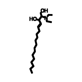 CCCCCCCCCCCCCC=CC(O)C(CO)N(CC)CC